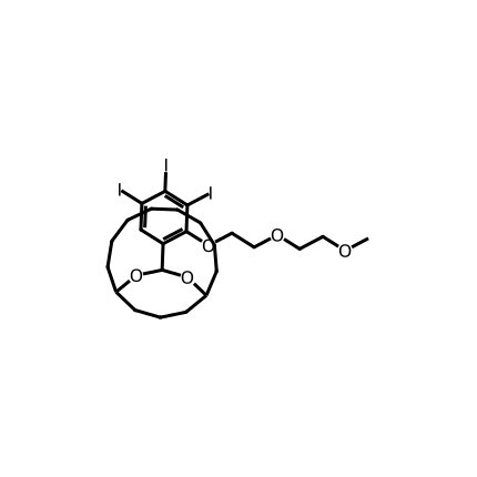 COCCOCCOc1c(C2OC3CCCCCCCCC(CCC3)O2)cc(I)c(I)c1I